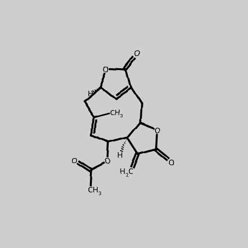 C=C1C(=O)OC2CC3=C[C@@H](C/C(C)=C/C(OC(C)=O)[C@H]12)OC3=O